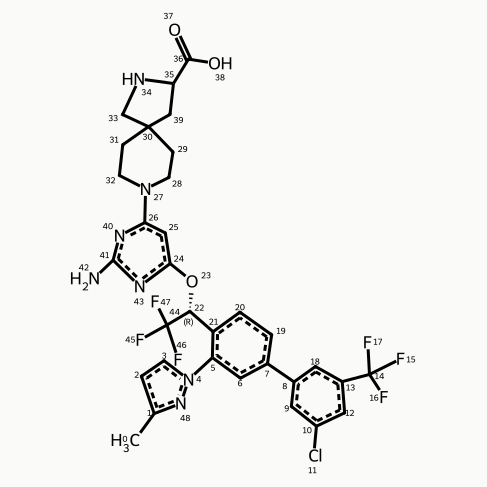 Cc1ccn(-c2cc(-c3cc(Cl)cc(C(F)(F)F)c3)ccc2[C@@H](Oc2cc(N3CCC4(CC3)CNC(C(=O)O)C4)nc(N)n2)C(F)(F)F)n1